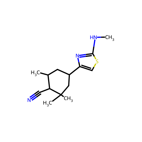 CNc1nc(C2CC(C)C(C#N)C(C)(C)C2)cs1